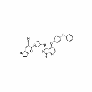 N#C/C(=C/c1ncc[nH]1)C(=O)N1CCC(Nc2n[nH]c3nccc(Oc4ccc(Oc5ccccc5)cc4)c23)C1